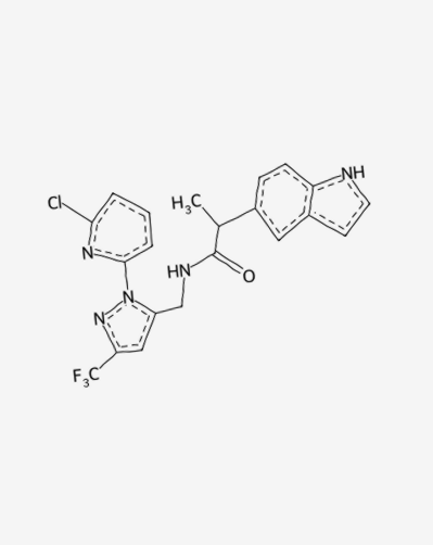 CC(C(=O)NCc1cc(C(F)(F)F)nn1-c1cccc(Cl)n1)c1ccc2[nH]ccc2c1